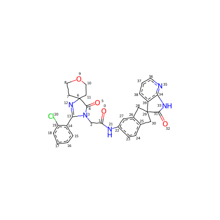 O=C(CN1C(=O)C2(CCOCC2)N=C1c1ccccc1Cl)Nc1ccc2c(c1)CC1(C2)C(=O)Nc2ncccc21